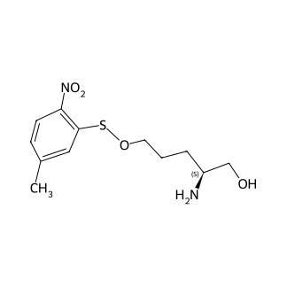 Cc1ccc([N+](=O)[O-])c(SOCCC[C@H](N)CO)c1